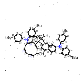 C=C1/C=C\C=C/C/C(N(c2ccc(C(C)(C)C)cc2)c2ccc(C(C)(C)C)cc2)=C\C2=C1c1cc3ccc(N(c4ccc(C(C)(C)C)cc4)c4ccc(C(C)(C)C)cc4)cc3cc1C2([Si](C)(C)C)[Si](C)(C)C